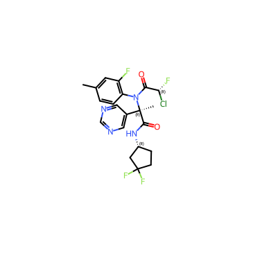 Cc1ccc(N(C(=O)[C@H](F)Cl)[C@@](C)(C(=O)N[C@@H]2CCC(F)(F)C2)c2cncnc2)c(F)c1